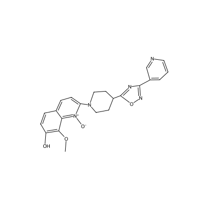 COc1c(O)ccc2ccc(N3CCC(c4nc(-c5cccnc5)no4)CC3)[n+]([O-])c12